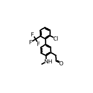 CNc1ccc(-c2c(Cl)cccc2C(F)(F)F)cc1CC=O